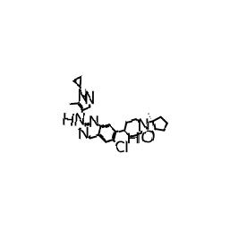 Cc1c(Nc2ncc3cc(Cl)c(C4CCN([C@@]5(C)CCC[C@@H]5O)CC4)cc3n2)cnn1C1CC1